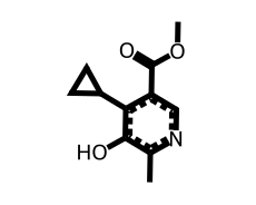 COC(=O)c1cnc(C)c(O)c1C1CC1